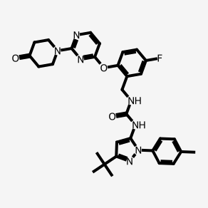 Cc1ccc(-n2nc(C(C)(C)C)cc2NC(=O)NCc2cc(F)ccc2Oc2ccnc(N3CCC(=O)CC3)n2)cc1